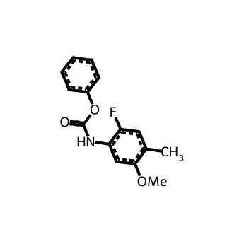 COc1cc(NC(=O)Oc2ccccc2)c(F)cc1C